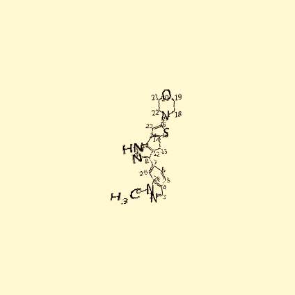 Cn1ncc2ccc(-c3n[nH]c4c3Cc3sc(N5CCOCC5)cc3-4)cc21